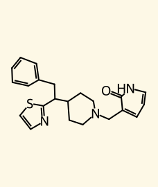 O=c1[nH]cccc1CN1CCC(C(Cc2ccccc2)c2nccs2)CC1